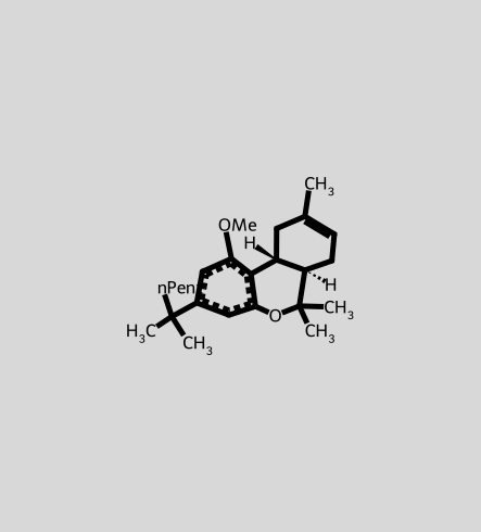 CCCCCC(C)(C)c1cc(OC)c2c(c1)OC(C)(C)[C@@H]1CC=C(C)C[C@@H]21